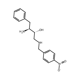 N[C@@H](Cc1ccccc1)[C@H](O)CNCc1ccc([N+](=O)[O-])cc1